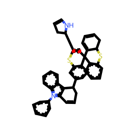 C1=CCC2Sc3ccccc3C3(C2=C1)c1ccc(C2CC=CN2)cc1Sc1cc(C2CC=Cc4c2c2ccccc2n4-c2ccccc2)ccc13